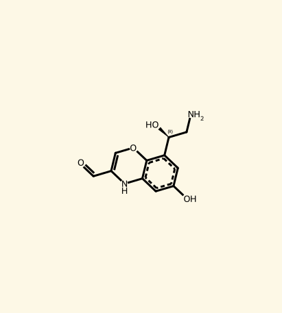 NC[C@H](O)c1cc(O)cc2c1OC=C(C=O)N2